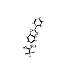 CC(C)(C)C(=O)Nc1ccc2oc(-c3ccccc3)nc2c1